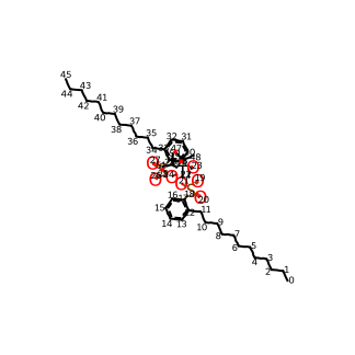 CCCCCCCCCCCCc1ccccc1S(=O)(=O)[O][Ti](=[O])([O]S(=O)(=O)c1ccccc1CCCCCCCCCCCC)([CH](C)C)[CH](C)C